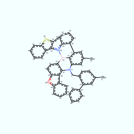 CC(C)(C)c1ccc(CN2c3cc(C(C)(C)C)cc4c3B(c3ccc5oc6ccccc6c5c32)n2c3c-4cccc3c3sc4ccccc4c32)c(-c2ccccc2)c1